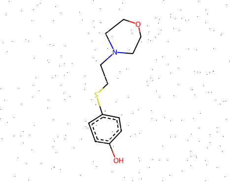 Oc1ccc(SCCN2CCOCC2)cc1